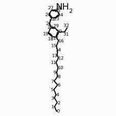 CCCCCCCCCCCCCCCCCc1ccc(Cc2ccc(N)cc2)cc1CC